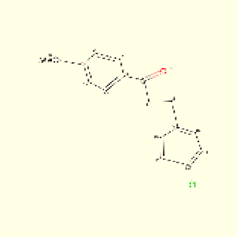 COc1ccc(C(=O)CCc2ccc(Cl)cc2)cc1